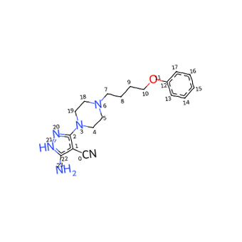 N#Cc1c(N2CCN(CCCCOc3ccccc3)CC2)n[nH]c1N